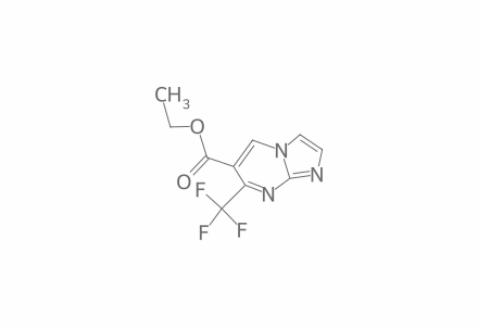 CCOC(=O)c1cn2ccnc2nc1C(F)(F)F